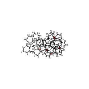 c1ccc2c(c1)-c1cccc(-c3ccc4c(c3-c3cccc5c3C(c3cccc6ccccc36)(c3cccc6ccccc36)c3ccccc3-5)C(c3cccc5ccccc35)(c3cccc5ccccc35)c3ccccc3-4)c1C2(c1cccc2ccccc12)c1cccc2ccccc12